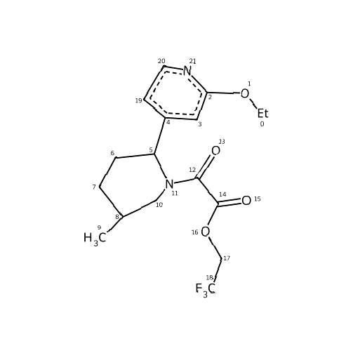 CCOc1cc(C2CCC(C)CN2C(=O)C(=O)OCC(F)(F)F)ccn1